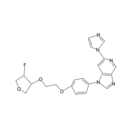 FC1COCC1OCCOc1ccc(-n2cnc3cnc(-n4ccnc4)cc32)cc1